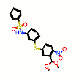 COC(OC)c1cc(Sc2cccc(NS(=O)(=O)c3ccccc3)c2)ccc1[N+](=O)[O-]